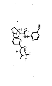 C#Cc1ccnc(NC(=O)N2c3nc(C(=O)NC(C)C(F)(F)F)ccc3N3CC[C@H]2C3)c1